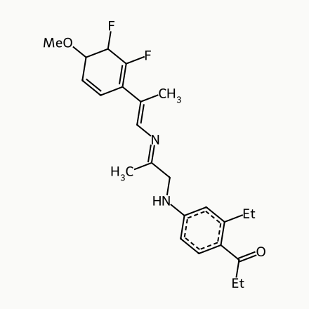 CCC(=O)c1ccc(NC/C(C)=N/C=C(\C)C2=C(F)C(F)C(OC)C=C2)cc1CC